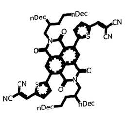 CCCCCCCCCCCCC(CCCCCCCCCC)CN1C(=O)c2cc(-c3ccc(C=C(C#N)C#N)s3)c3c4c(cc(-c5ccc(C=C(C#N)C#N)s5)c(c24)C1=O)C(=O)N(CC(CCCCCCCCCC)CCCCCCCCCCCC)C3=O